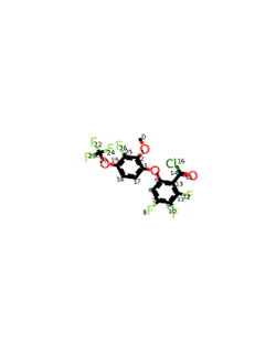 COc1c(Oc2cc(F)c(F)c(F)c2C(=O)Cl)ccc(OC(F)(F)F)c1F